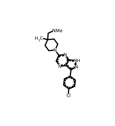 CNCC1(C)CCN(c2cnc3c(-c4ccc(Cl)cc4)n[nH]c3n2)CC1